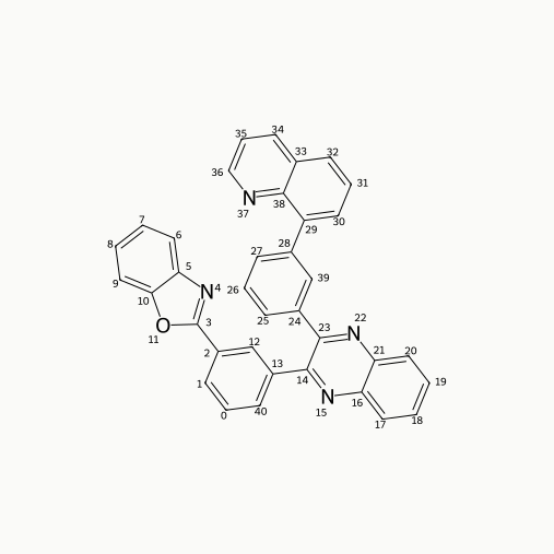 c1cc(-c2nc3ccccc3o2)cc(-c2nc3ccccc3nc2-c2cccc(-c3cccc4cccnc34)c2)c1